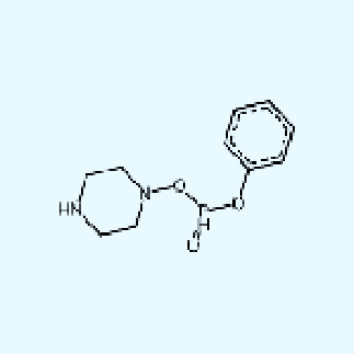 O=[PH](Oc1ccccc1)ON1CCNCC1